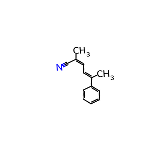 CC(C#N)=CC=C(C)c1ccccc1